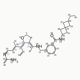 C=CC(=C1/OCC/C1=C(/C)NCc1cccc(C(=O)NC2CC3(CC(CC)C3)C2)c1)/C(C)=C/C=N\C(=C)N